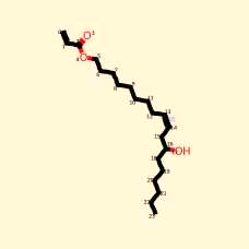 C=CC(=O)OCCCCCCCC/C=C\CC(O)CCCCCC